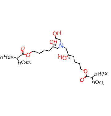 CCCCCCCCC(CCCCCC)C(=O)OCCCC[C@@H](O)CN(CCO)C[C@@H](O)CCCCOC(=O)C(CCCCCC)CCCCCCCC